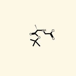 C[C@H](NCC(=O)Cl)C(=O)OC(C)(C)C